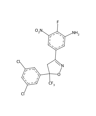 Nc1cc(C2=NOC(c3cc(Cl)cc(Cl)c3)(C(F)(F)F)C2)cc([N+](=O)[O-])c1F